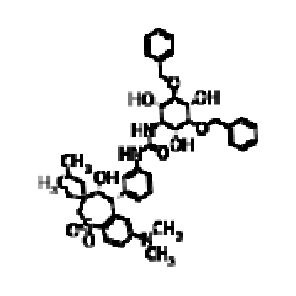 CCC[C@]1(CC)CS(=O)(=O)c2ccc(N(C)C)cc2[C@@H](c2cccc(NC(=O)N[C@@H]3[C@@H](O)[C@H](OCc4ccccc4)[C@@H](O)[C@H](OCc4ccccc4)[C@H]3O)c2)[C@H]1O